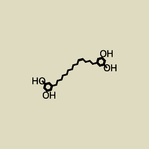 Oc1cc(O)cc(CCC/C=C\CCCCCCCCCc2cc(O)cc(O)c2)c1